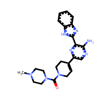 CN1CCN(C(=O)N2CC=C(c3cnc(N)c(-c4nc5ccccc5[nH]4)n3)CC2)CC1